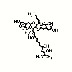 CCCC[C@@H](C)[C@@H](OC(=O)C[C@H](CC(=O)O)C(=O)O)[C@H](C[C@@H](C)C[C@H](O)CCCC[C@@H](O)C[C@H](O)[C@H](C)N)OC(=O)C[C@H](CC(=O)O)C(=O)O